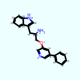 N[C@@H](COc1cncc(-c2cc[c]cc2)c1)Cc1c[nH]c2ccccc12